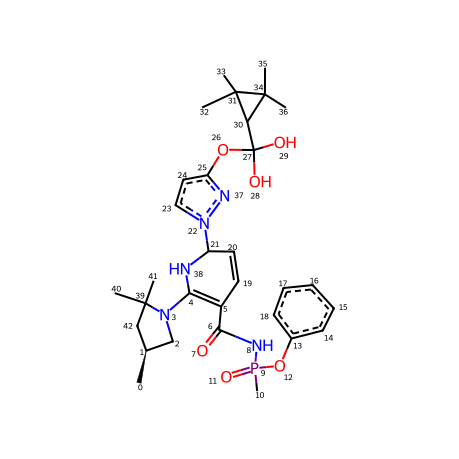 C[C@@H]1CN(C2=C(C(=O)NP(C)(=O)Oc3ccccc3)C=CC(n3ccc(OC(O)(O)C4C(C)(C)C4(C)C)n3)N2)C(C)(C)C1